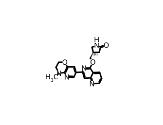 CN1CCOc2cc(-c3cc4ncccc4c(OC[C@H]4CNC(=O)C4)n3)cnc21